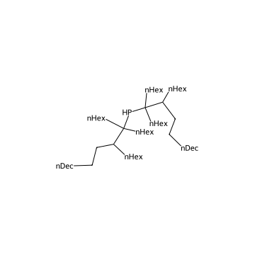 CCCCCCCCCCCCC(CCCCCC)C(CCCCCC)(CCCCCC)PC(CCCCCC)(CCCCCC)C(CCCCCC)CCCCCCCCCCCC